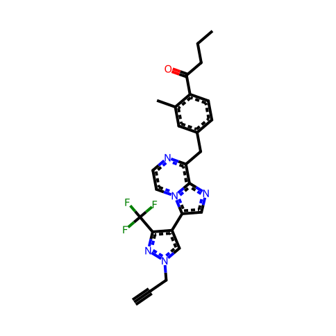 C#CCn1cc(-c2cnc3c(Cc4ccc(C(=O)CCC)c(C)c4)nccn23)c(C(F)(F)F)n1